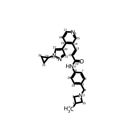 CC1CN(Cc2ccc(NC(=O)C=Cc3cnccc3-c3cnn(C4CC4)c3)cc2)C1